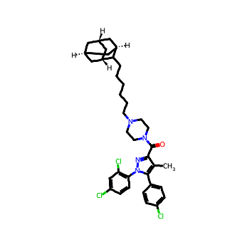 Cc1c(C(=O)N2CCN(CCCCCCC3[C@H]4C[C@@H]5C[C@@H](C[C@H]3C5)C4)CC2)nn(-c2ccc(Cl)cc2Cl)c1-c1ccc(Cl)cc1